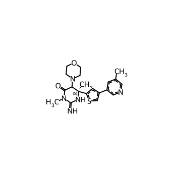 Cc1cncc(-c2csc([C@@]3(C)NC(=N)N(C)C(=O)C3N3CCOCC3)c2)c1